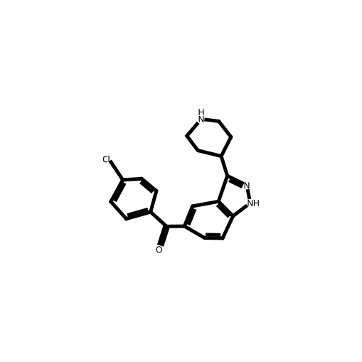 O=C(c1ccc(Cl)cc1)c1ccc2[nH]nc(C3CCNCC3)c2c1